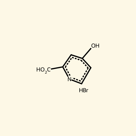 Br.O=C(O)c1cc(O)ccn1